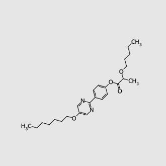 CCCCCCCOc1cnc(-c2ccc(OC(=O)C(C)OCCCCC)cc2)nc1